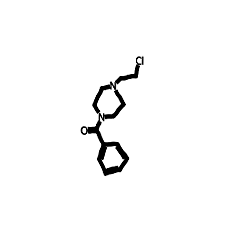 O=C(c1ccccc1)N1CCN(CCCl)CC1